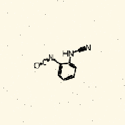 N#CNc1ccccc1N=C=O